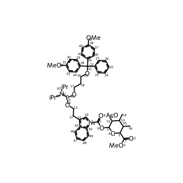 COC(=O)C1OC(OC(=O)n2cc(CCOP(OCCCOC(c3ccccc3)(c3ccc(OC)cc3)c3ccc(OC)cc3)N(C(C)C)C(C)C)c3ccccc32)C(OC(C)=O)C(C)C1C